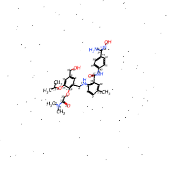 Cc1ccc(NCc2cc(CO)cc(OC(C)C)c2OCC(=O)N(C)C)c(C(=O)Nc2ccc(/C(N)=N/O)cc2)c1